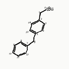 CC(C)(C)Cc1ccc(Cc2ccccc2)cc1